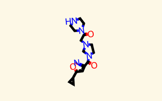 O=C(CN1CCN(C(=O)c2cc(C3CC3)on2)C1)N1CCNCC1